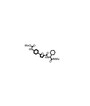 CNC(=O)C(NC(=O)c1ccc(-c2ccc(NC(=O)OC)cc2)o1)C1CCCCC1